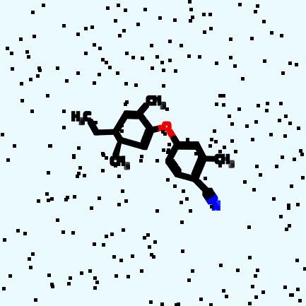 CCC1C=C(C)C(Oc2ccc(C#N)c(C)c2)=C[C@H]1C